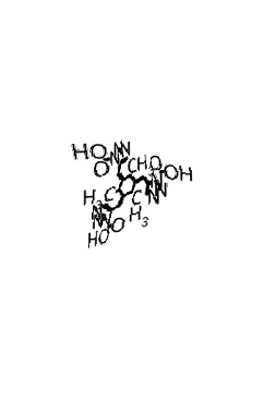 CC1C(=Cc2cnnn2C(=O)O)C(C)C(=Cc2cnnn2C(=O)O)C(C)C1=Cc1cnnn1C(=O)O